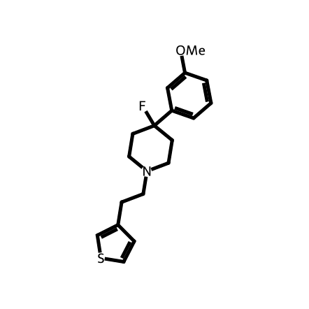 COc1cccc(C2(F)CCN(CCc3ccsc3)CC2)c1